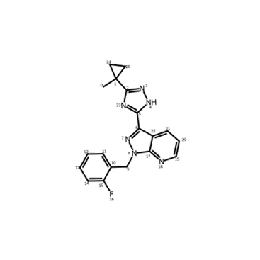 CC1(c2n[nH]c(-c3nn(Cc4ccccc4F)c4ncccc34)n2)CC1